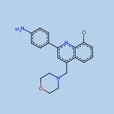 Nc1ccc(-c2cc(CN3CCOCC3)c3cccc(Cl)c3n2)cc1